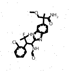 COCC(C)(C(N)=O)c1ccc2nc(C(NC=O)C(c3ccccc3Cl)C(C)(C)F)[nH]c2c1